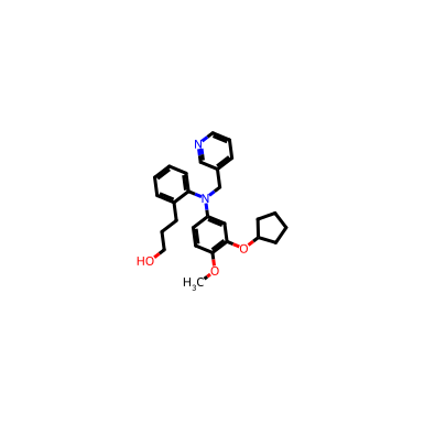 COc1ccc(N(Cc2cccnc2)c2ccccc2CCCO)cc1OC1CCCC1